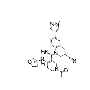 CC(=O)N1CCC(N[C@H]2CCOC2)=C(C(=N)N2CC(C#N)Cc3cc(-c4cnn(C)c4)ccc32)C1